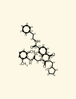 Cc1cccc(C)c1NC(=S)Cn1c(=O)n(CC2CCCS2)c(=O)c2ccc(C(=O)NCCc3ccccc3)cc21